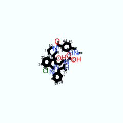 CNCC1CCC(C(=O)N2CCC[C@@H]([C@@](O)(CCCNC(=O)O)c3cccc(Cl)c3-c3nc(C(C)C)c4ccccc4n3)C2)CC1